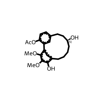 COc1c2cc(c(O)c1OC)CCCC[C@H](O)CCc1ccc(OC(C)=O)c-2c1